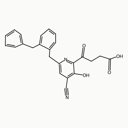 N#Cc1cc(Cc2ccccc2Cc2ccccc2)nc(C(=O)CCC(=O)O)c1O